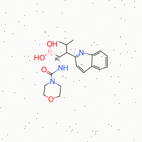 CC(C)C(c1ccc2ccccc2n1)[C@H](NC(=O)N1CCOCC1)B(O)O